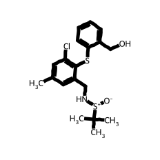 Cc1cc(Cl)c(Sc2ccccc2CO)c(CN[S+]([O-])C(C)(C)C)c1